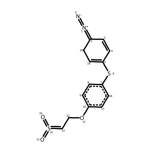 [N-]=[N+]=C1C=CC(Sc2ccc(OCC=S(=O)=O)cc2)=CC1